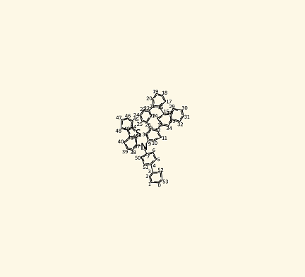 c1ccc(-c2ccc(N(c3ccc(-c4cc(-c5ccccc5-c5ccccc5)c5ccccc5c4)cc3)c3cccc4c3sc3ccccc34)cc2)cc1